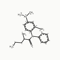 CCCC(N)C(=O)N(c1ccccn1)c1ccc([As](C)C)cc1N